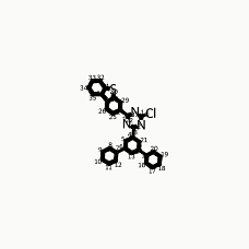 Clc1nc(-c2cc(-c3ccccc3)cc(-c3ccccc3)c2)nc(-c2ccc3c(c2)sc2ccccc23)n1